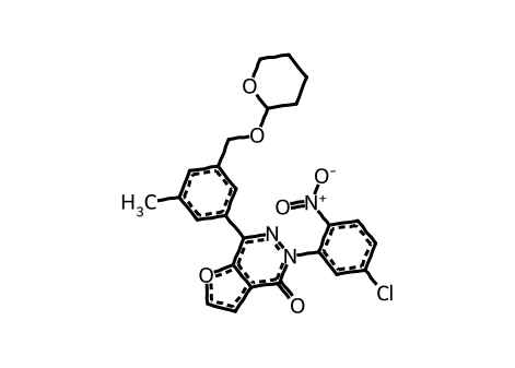 Cc1cc(COC2CCCCO2)cc(-c2nn(-c3cc(Cl)ccc3[N+](=O)[O-])c(=O)c3ccoc23)c1